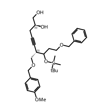 COc1ccc(COC[C@H](C#CC[C@H](O)CO)C(CCOCc2ccccc2)O[Si](C)(C)C(C)(C)C)cc1